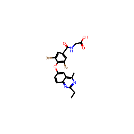 CCc1nc(C)c2cc(Oc3c(Br)cc(C(=O)NCC(=O)O)cc3Br)ccc2n1